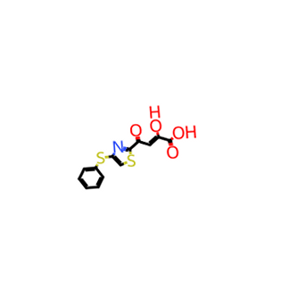 O=C(O)/C(O)=C/C(=O)c1nc(Sc2ccccc2)cs1